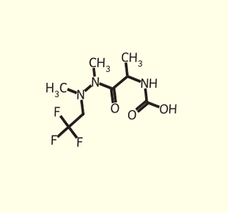 CC(NC(=O)O)C(=O)N(C)N(C)CC(F)(F)F